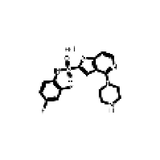 Cl.O=S(=O)(Nc1ccc(F)cc1F)c1cc2c(N3CCNCC3)nccc2s1